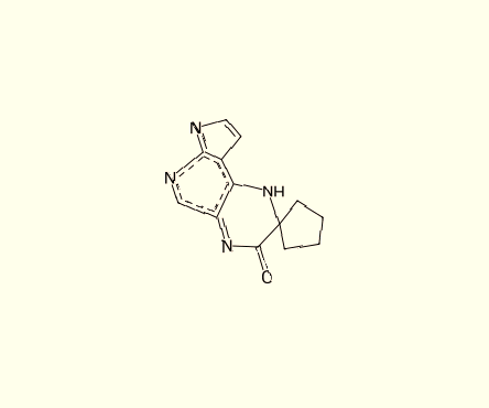 O=C1N=c2cnc3c(c2NC12CCCC2)C=CN=3